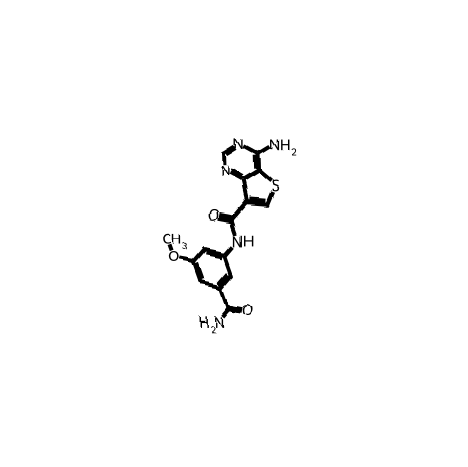 COc1cc(NC(=O)c2csc3c(N)ncnc23)cc(C(N)=O)c1